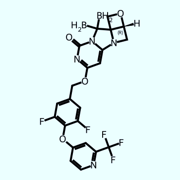 BC1(B)n2c(cc(OCc3cc(F)c(Oc4ccnc(C(F)(F)F)c4)c(F)c3)nc2=O)N2C[C@H]3OCC321